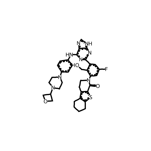 O=C1c2sc3c(c2CCN1c1cc(F)cc(-c2nc(Nc4ccc(N5CCN(C6COC6)CC5)cc4)c4nc[nH]c4n2)c1CO)CCCC3